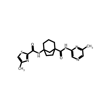 Cc1cncc(NC(=O)C23CCCC(NC(=O)c4nc(C)cs4)(CC2)C3)n1